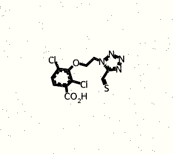 O=C(O)c1ccc(Cl)c(OCCn2nnnc2C=S)c1Cl